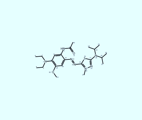 CCN(CC)c1cc(NC(C)=O)c(/N=N/c2sc(N(C(C)C)C(C)C)n[n+]2C)cc1OC